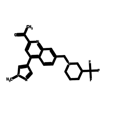 CC(=O)c1cc(-c2cnn(C)c2)c2ccc(CN3CCCC(C(F)(F)F)C3)cc2n1